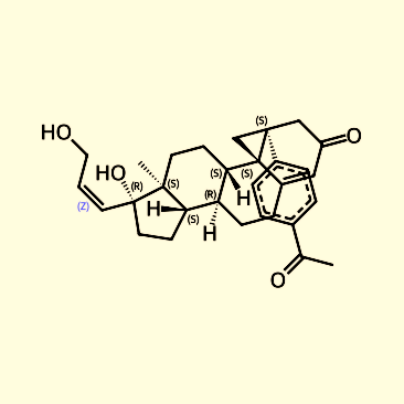 CC(=O)c1ccc([C@]23CC(=O)C=C4CC[C@H]5[C@@H]6CC[C@@](O)(/C=C\CO)[C@@]6(C)CC[C@@H]5[C@@]42C3)cc1